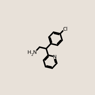 NCC(c1ccc(Cl)cc1)c1ccccn1